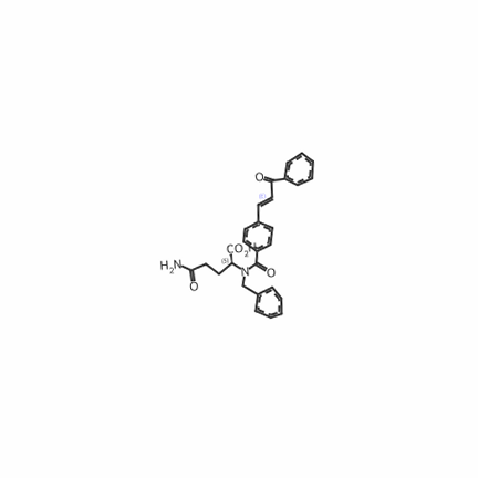 NC(=O)CC[C@@H](C(=O)O)N(Cc1ccccc1)C(=O)c1ccc(/C=C/C(=O)c2ccccc2)cc1